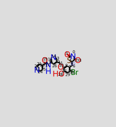 CN1C(=O)S/C(=C\c2cc(OCc3cncc(NC(=O)c4ccncc4)c3)c(O)cc2Br)C1=O